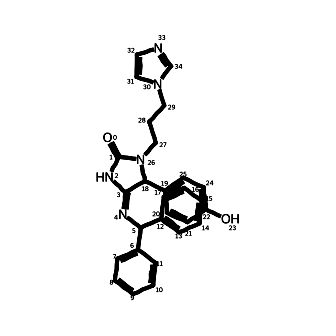 O=C1N/C(=N/C(c2ccccc2)c2ccccc2)C(c2ccc(O)cc2)N1CCCn1ccnc1